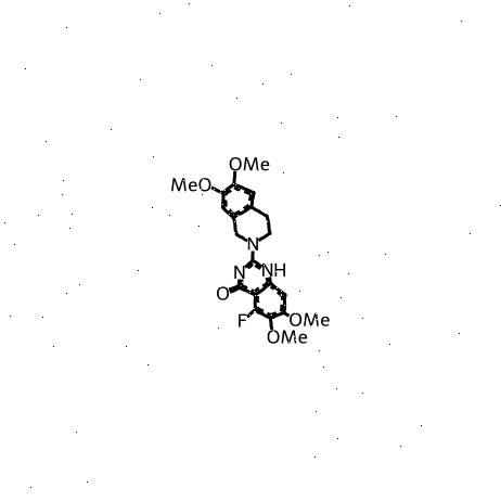 COc1cc2c(cc1OC)CN(c1nc(=O)c3c(F)c(OC)c(OC)cc3[nH]1)CC2